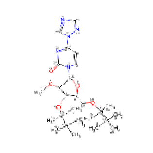 COC1[C@@H](O[Si](C)(C)C(C)(C)C)[C@@H](CO[Si](C)(C)C(C)(C)C)O[C@H]1n1ccc(-n2cncn2)nc1=O